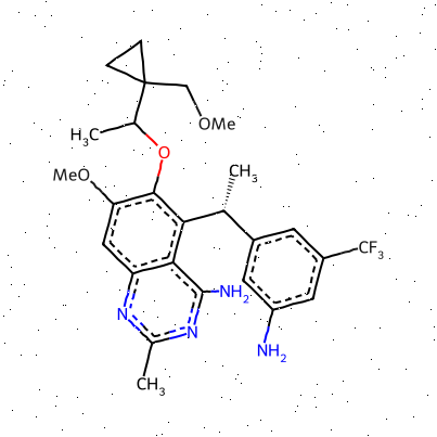 COCC1(C(C)Oc2c(OC)cc3nc(C)nc(N)c3c2[C@H](C)c2cc(N)cc(C(F)(F)F)c2)CC1